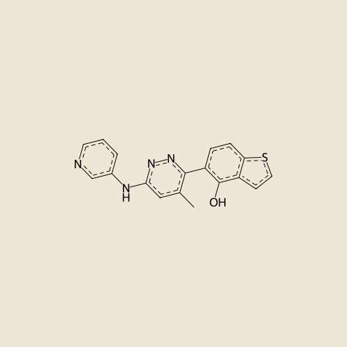 Cc1cc(Nc2cccnc2)nnc1-c1ccc2sccc2c1O